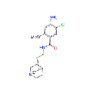 COc1cc(N)c(Cl)cc1C(=O)NCCC1CN2CCC1CC2